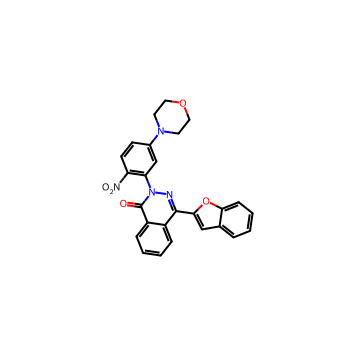 O=c1c2ccccc2c(-c2cc3ccccc3o2)nn1-c1cc(N2CCOCC2)ccc1[N+](=O)[O-]